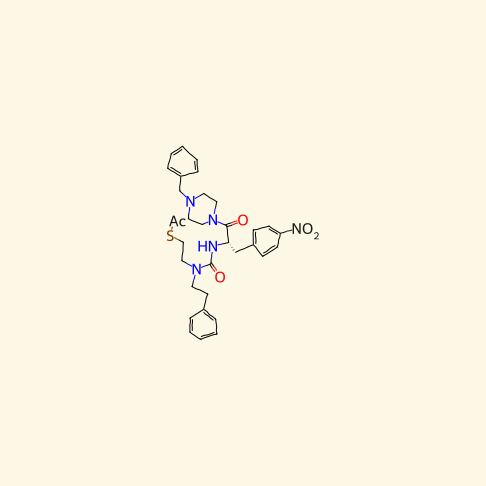 CC(=O)SCCN(CCc1ccccc1)C(=O)N[C@@H](Cc1ccc([N+](=O)[O-])cc1)C(=O)N1CCN(Cc2ccccc2)CC1